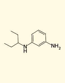 CCC(CC)Nc1cccc(N)c1